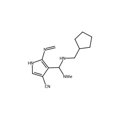 C=Nc1[nH]cc(C#N)c1C(NC)NCC1CCCC1